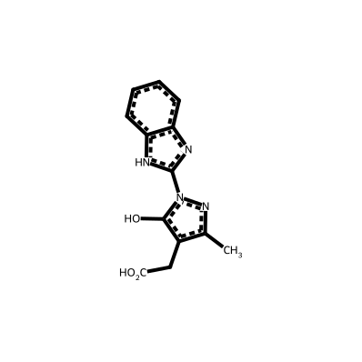 Cc1nn(-c2nc3ccccc3[nH]2)c(O)c1CC(=O)O